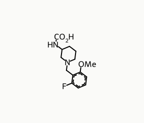 COc1cccc(F)c1CN1CCCC(NC(=O)O)C1